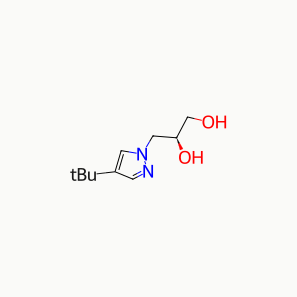 CC(C)(C)c1cnn(C[C@H](O)CO)c1